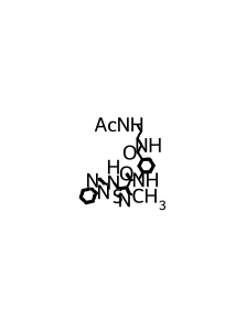 CC(=O)NCCNC(=O)c1cccc(NC(=O)c2c(C)nsc2Nc2cnc3ccccc3n2)c1